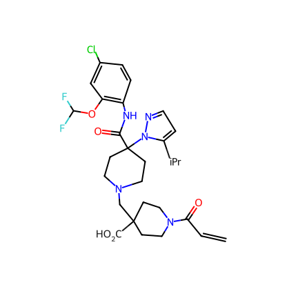 C=CC(=O)N1CCC(CN2CCC(C(=O)Nc3ccc(Cl)cc3OC(F)F)(n3nccc3C(C)C)CC2)(C(=O)O)CC1